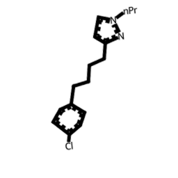 CCCn1ccc(CCCCc2ccc(Cl)cc2)n1